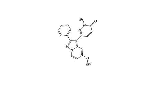 CCCOc1ccn2nc(-c3ccccc3)c(-c3ccc(=O)n(C(C)C)n3)c2c1